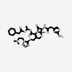 CC(OC(=O)CC1CCCCC1)OC(=O)C1=C(CSc2nnnn2CCN(C)C)CS[C@H]2[C@H](NC(=O)Cc3csc(N)n3)C(=O)N12